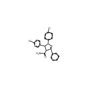 NC(=O)C1C(c2ccccc2)=NN(c2ccc(Cl)cc2)C1c1ccc(Cl)nc1